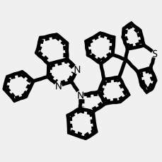 c1ccc(-c2nc(-n3c4ccccc4c4ccc5c(c43)-c3ccccc3C53c4ccccc4Sc4ccccc43)nc3ccccc23)cc1